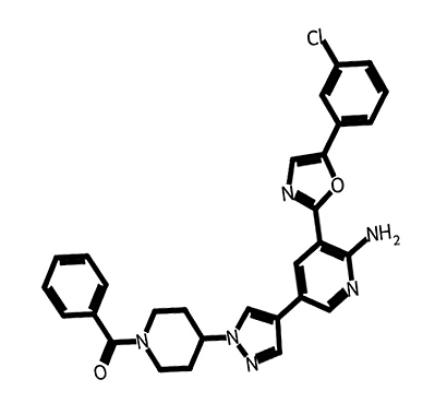 Nc1ncc(-c2cnn(C3CCN(C(=O)c4ccccc4)CC3)c2)cc1-c1ncc(-c2cccc(Cl)c2)o1